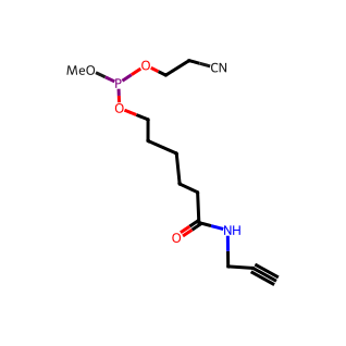 C#CCNC(=O)CCCCCOP(OC)OCCC#N